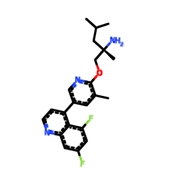 Cc1cc(-c2ccnc3cc(F)cc(F)c23)cnc1OC[C@@](C)(N)CC(C)C